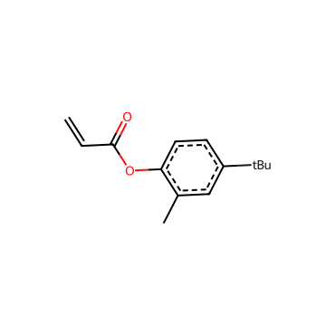 C=CC(=O)Oc1ccc(C(C)(C)C)cc1C